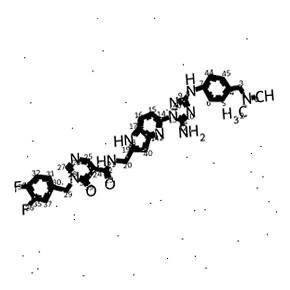 CN(C)Cc1ccc(Nc2nc(N)n(-c3ccc4[nH]c(CNC(=O)c5cncn(Cc6ccc(F)c(F)c6)c5=O)cc4n3)n2)cc1